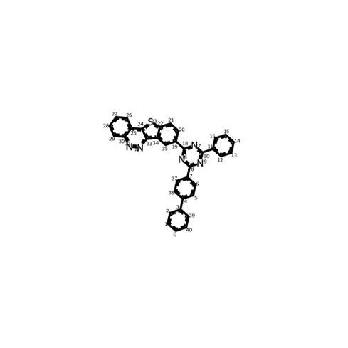 c1ccc(-c2ccc(-c3nc(-c4ccccc4)nc(-c4ccc5sc6c7ccccc7nnc6c5c4)n3)cc2)cc1